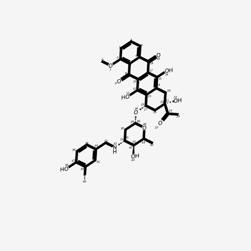 COc1cccc2c1C(=O)c1c(O)c3c(c(O)c1C2=O)C[C@@](O)(C(C)=O)C[C@@H]3O[C@H]1C[C@@H](NCc2ccc(O)c(I)c2)[C@H](O)C(C)O1